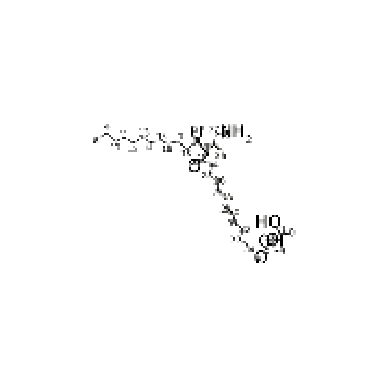 CC(=O)O.CC(=O)O.CCCCCCCCCCCC(=O)N(C(=O)CCCCCCCCCCC)C(C)CN